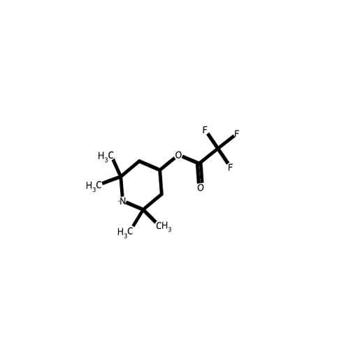 CC1(C)CC(OC(=O)C(F)(F)F)CC(C)(C)[N]1